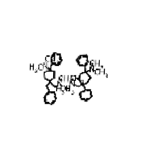 CN(C)CC1(Cc2ccccc2)CCC(c2ccccc2)(N(C)C)CC1.CN(C)CC1(c2ccccc2)CCC(c2ccccc2)(N(C)C)CC1